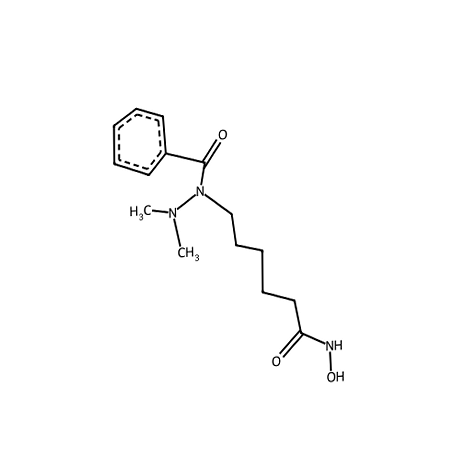 CN(C)N(CCCCCC(=O)NO)C(=O)c1ccccc1